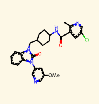 COc1cncc(-n2c(=O)n(CC3CCC(NC(=O)c4cc(Cl)cnc4C)CC3)c3ccccc32)c1